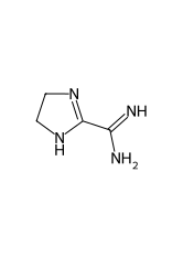 N=C(N)C1=NCCN1